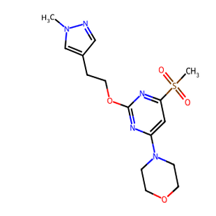 Cn1cc(CCOc2nc(N3CCOCC3)cc(S(C)(=O)=O)n2)cn1